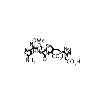 CO/N=C(\C(=O)N[C@@H]1C(=O)N2C(C(=O)O)=C(CSc3nnnn3CC(=O)O)CS[C@H]12)c1cc(N)sn1